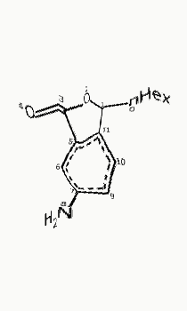 CCCCCCC1OC(=O)c2cc(N)ccc21